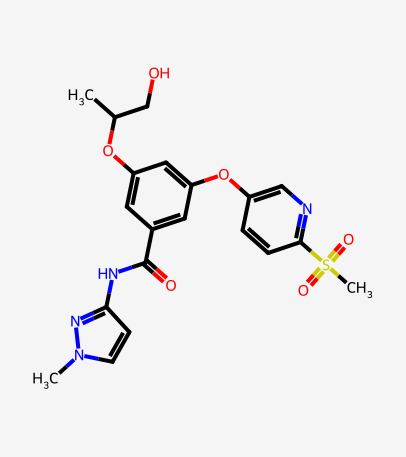 CC(CO)Oc1cc(Oc2ccc(S(C)(=O)=O)nc2)cc(C(=O)Nc2ccn(C)n2)c1